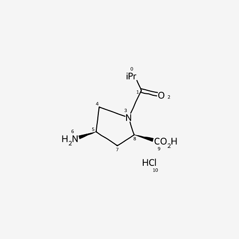 CC(C)C(=O)N1C[C@H](N)C[C@@H]1C(=O)O.Cl